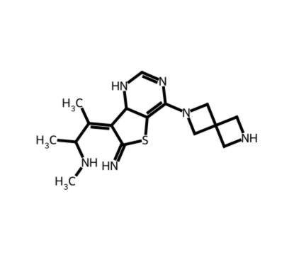 CNC(C)/C(C)=C1\C(=N)SC2=C(N3CC4(CNC4)C3)N=CNC21